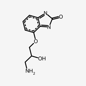 NCC(O)COc1cccc2c1=NC(=O)N=2